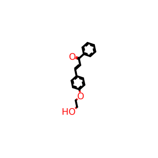 O=C(C=Cc1ccc(OCCO)cc1)c1ccccc1